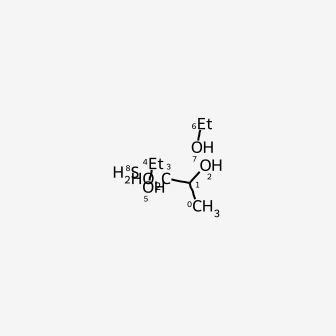 CC(O)C(=O)O.CCO.CCO.S